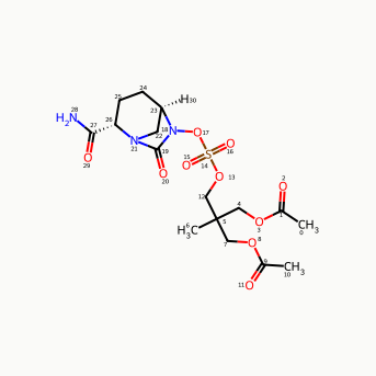 CC(=O)OCC(C)(COC(C)=O)COS(=O)(=O)ON1C(=O)N2C[C@H]1CC[C@H]2C(N)=O